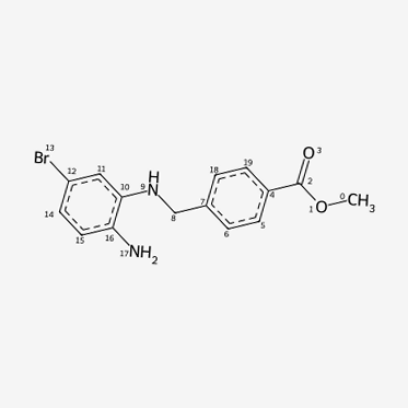 COC(=O)c1ccc(CNc2cc(Br)ccc2N)cc1